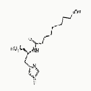 CCCCCCCCCCCCCCCCCC(=O)N[C@@H](Cc1c[nH]cn1)C(=O)O